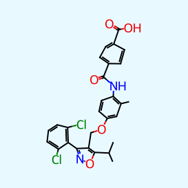 Cc1cc(OCc2c(-c3c(Cl)cccc3Cl)noc2C(C)C)ccc1NC(=O)c1ccc(C(=O)O)cc1